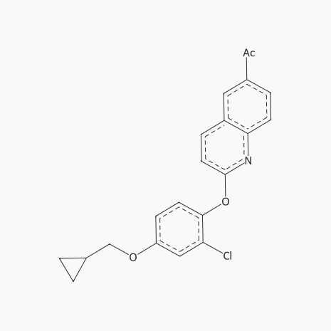 CC(=O)c1ccc2nc(Oc3ccc(OCC4CC4)cc3Cl)ccc2c1